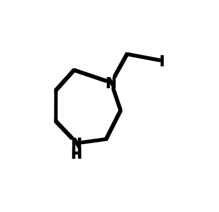 ICN1CCCNCC1